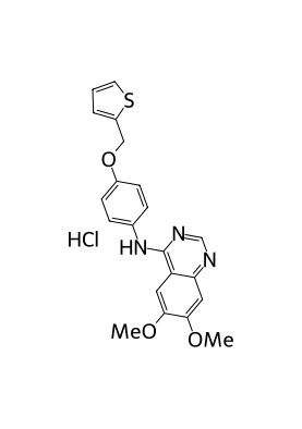 COc1cc2ncnc(Nc3ccc(OCc4cccs4)cc3)c2cc1OC.Cl